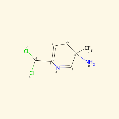 NC1(C(F)(F)F)C=NC(C(Cl)Cl)=CC1